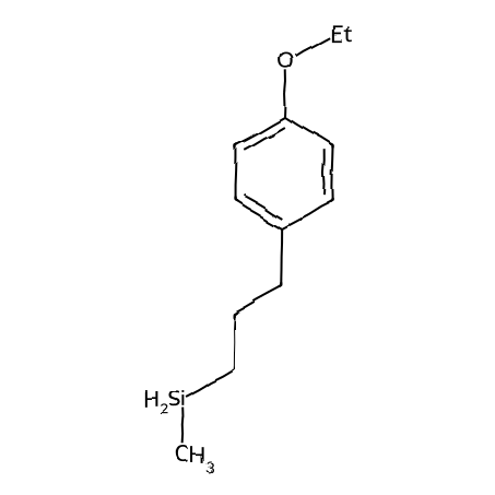 CCOc1ccc(CCC[SiH2]C)cc1